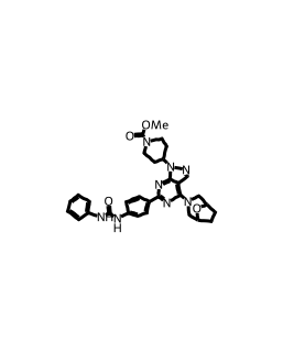 COC(=O)N1CCC(n2ncc3c(N4CC5CCC(C4)O5)nc(-c4ccc(NC(=O)Nc5ccccc5)cc4)nc32)CC1